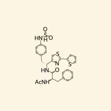 CC(=O)N[C@H](Cc1ccccc1)C(=O)N[C@H](Cc1ccc(N[SH](=O)=O)cc1)c1csc(-c2cccs2)n1